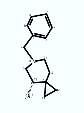 O[C@@H]1CN(Cc2ccccc2)CCC12CC2